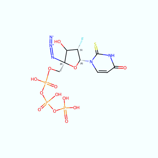 [N-]=[N+]=N[C@]1(COP(=O)(O)OP(=O)(O)OP(=O)(O)O)O[C@@H](n2ccc(=O)[nH]c2=S)[C@@H](F)C1O